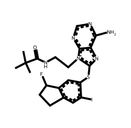 CC(C)(C)C(=O)NCCn1c(Sc2cc3c(cc2I)CCC3F)nc2c(N)ncnc21